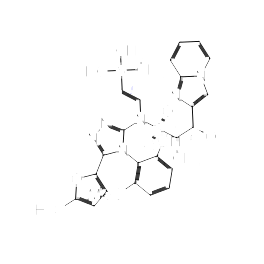 COc1cccc(O)c1-n1c(-c2ccc(C)o2)nnc1N(/C=C/S(C)(C)C)S(=O)(=O)[C@@H](C)[C@H](O)c1cn2ccccc2n1